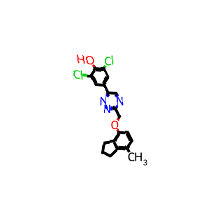 Cc1ccc(OCc2ncc(-c3cc(Cl)c(O)c(Cl)c3)nn2)c2c1CCC2